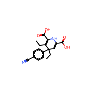 CCC1=C(C(=O)O)NC(C(=O)O)=CC1(CC)c1ccc(C#N)cc1